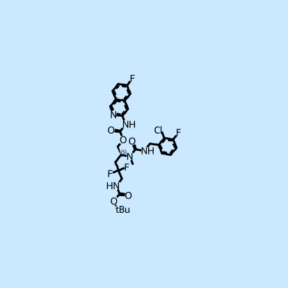 CN(C(=O)NCc1cccc(F)c1Cl)[C@H](COC(=O)Nc1cc2cc(F)ccc2cn1)CC(F)(F)CNC(=O)OC(C)(C)C